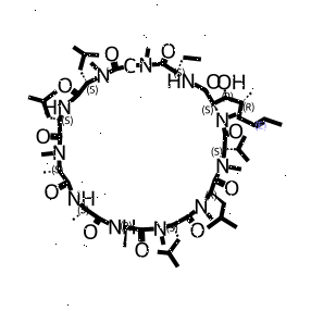 C/C=C/C[C@@H](C)[C@@H](O)[C@H]1C(=O)N[C@@H](CC)C(=O)N(C)CC(=O)N(C)[C@@H](CC(C)C)C(=O)N[C@@H](CC(C)C)C(=O)N(C)[C@@H](C)C(=O)N[C@@H](C)C(=O)N[C@H](C)C(=O)N(C)[C@@H](CC(C)C)C(=O)N(C)[C@H](CC(C)C)C(=O)N(C)[C@@H](C(C)C)C(=O)N1C